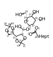 CCCCCCCC(=O)O[C@@H]1[C@H](OC(O)[C@@H]2OC(C)(C)O[C@@H]2[C@H]2COC(C)(C)O2)O[C@H](CO)[C@@H](O)[C@@H]1O